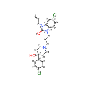 C=CCn1c(=O)n(CCCN2CCC(O)(c3ccc(Cl)cc3)CC2)c2ccc(Cl)cc21